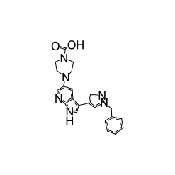 O=C(O)N1CCN(c2cnc3[nH]cc(-c4cnn(Cc5ccccc5)c4)c3c2)CC1